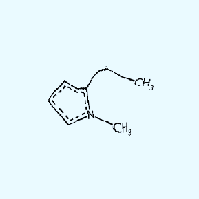 C[CH]c1cccn1C